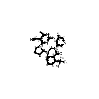 Cc1nc(N)nc(N2CCCC2N2CN(c3cncc(F)c3)C(=O)c3c2cccc3C(F)(F)F)c1C#N